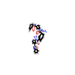 O=C(Nc1cccc(-c2nc3ccccc3o2)c1)c1cccc(C(=O)Nc2cccc(-c3nc4ccccc4o3)c2)c1